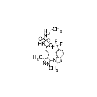 CCCNS(=O)(=O)NC(=O)C=Cc1c(C)nn(C)c1-n1ccc2ccc(C(F)(F)F)cc21